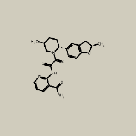 C[C@H]1CC[C@H](c2ccc3c(c2)C[C@@H](C)O3)N(C(=O)C(=O)Nc2ncccc2C(N)=O)C1